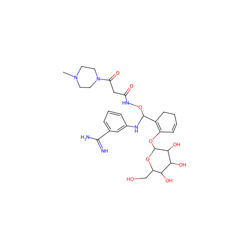 CN1CCN(C(=O)CC(=O)NOC(Nc2cccc(C(=N)N)c2)C2=C(OC3OC(CO)C(O)C(O)C3O)C=CCC2)CC1